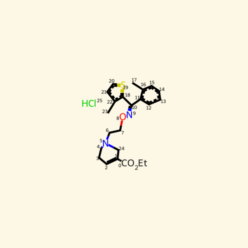 CCOC(=O)C1=CCCN(CCO/N=C(/c2ccccc2C)c2sccc2C)C1.Cl